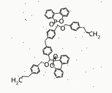 C=CCc1ccc(COC(c2ccc(Cc3ccc(C(OCc4ccc(CC=C)cc4)P4(=O)Oc5ccccc5-c5ccccc54)cc3)cc2)P2(=O)Oc3ccccc3-c3ccccc32)cc1